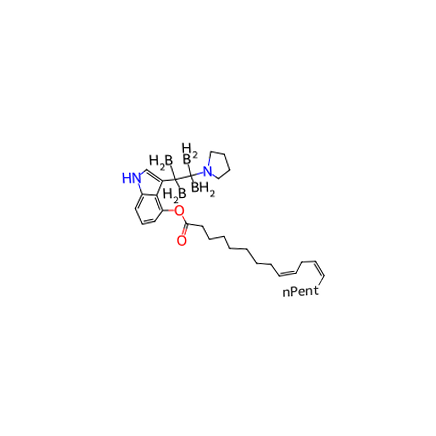 BC(B)(c1c[nH]c2cccc(OC(=O)CCCCCCC/C=C\C/C=C\CCCCC)c12)C(B)(B)N1CCCC1